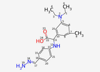 CCN(CC)c1cc(C)cc(C(Nc2ccc(C=NN)cc2)C(=O)O)c1